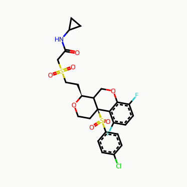 O=C(CS(=O)(=O)CC[C@@H]1OCC[C@@]2(S(=O)(=O)c3ccc(Cl)cc3)c3c(F)ccc(F)c3OCC12)NC1CC1